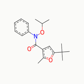 Cc1oc(C(C)(C)C)cc1C(=O)N(OC(C)C)c1ccccc1